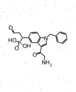 NCC(=O)c1cn(Cc2ccccc2)c2ccc(C(CC=O)P(=O)(O)O)cc12